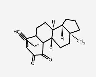 C#CC[C@]12C(=O)C(=O)C=CC1CC[C@H]1[C@@H]3CCC[C@@]3(C)CC[C@@H]12